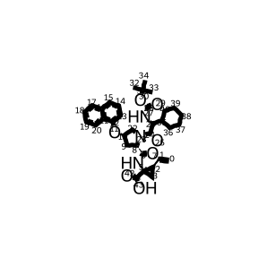 C=C[C@H]1C[C@]1(NC(=O)[C@@H]1C[C@@H](Oc2cccc3ccccc23)CN1C(=O)[C@@H](NC(=O)OC(C)(C)C)C1CCCCC1)C(=O)O